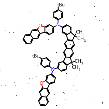 CC(C)(C)c1ccc(N(c2ccc3c(c2)-c2cc4cc5c(cc4cc2C3(C)C)C(C)(C)c2ccc(N(c3ccc(C(C)(C)C)cc3)c3ccc4c(c3)oc3cc6ccccc6cc34)cc2-5)c2ccc3c(c2)oc2cc4ccccc4cc23)cc1